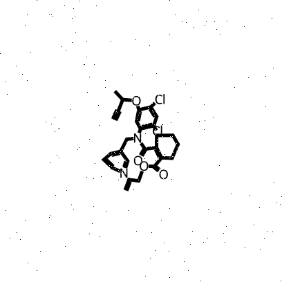 C#CC(C)Oc1cc(N(Cc2cccnc2)C(=O)C2=C(C(=O)OCC=C)CCCC2)c(Cl)cc1Cl